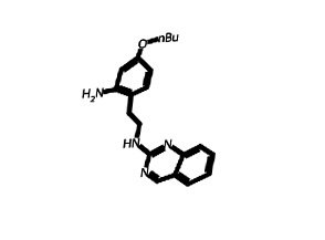 CCCCOc1ccc(CCNc2ncc3ccccc3n2)c(N)c1